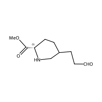 COC(=O)[C@@H]1CCC(CCC=O)CN1